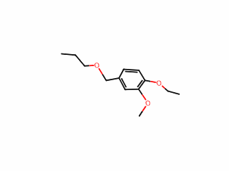 CCCOCc1ccc(OCC)c(OC)c1